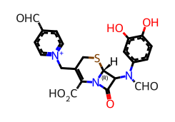 O=Cc1cc[n+](CC2=C(C(=O)O)N3C(=O)C(N(C=O)c4ccc(O)c(O)c4)[C@H]3SC2)cc1